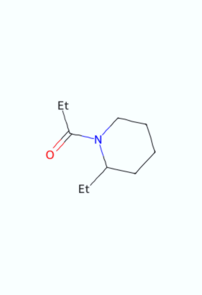 CCC(=O)N1CCCCC1CC